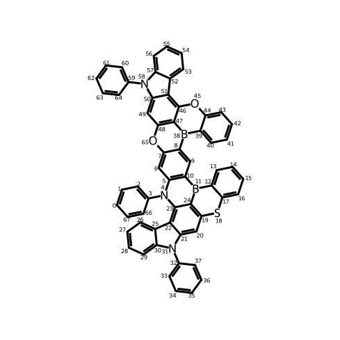 c1ccc(N2c3cc4c(cc3B3c5ccccc5Sc5cc6c(c2c53)c2ccccc2n6-c2ccccc2)B2c3ccccc3Oc3c2c(cc2c3c3ccccc3n2-c2ccccc2)O4)cc1